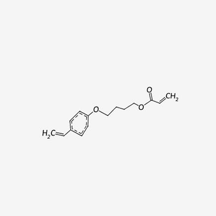 C=CC(=O)OCCCCOc1ccc(C=C)cc1